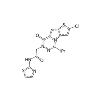 CC(C)c1nn(CC(=O)Nc2nccs2)c(=O)c2cc3sc(Cl)cc3n12